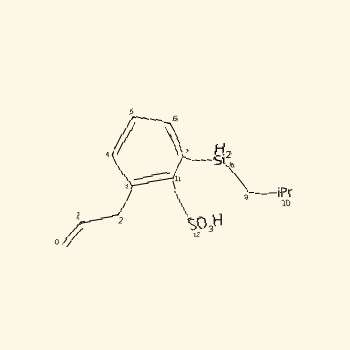 C=CCc1cccc([SiH2]CC(C)C)c1S(=O)(=O)O